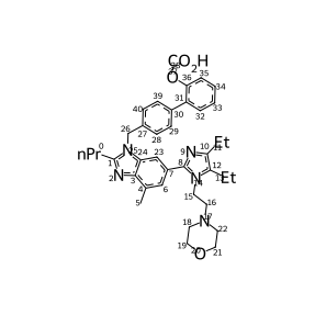 CCCc1nc2c(C)cc(-c3nc(CC)c(CC)n3CCN3CCOCC3)cc2n1Cc1ccc(-c2ccccc2OC(=O)O)cc1